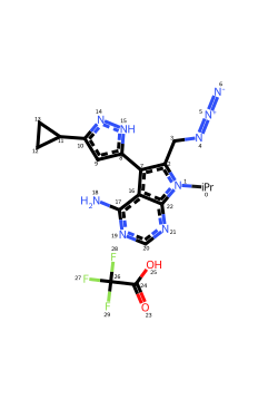 CC(C)n1c(CN=[N+]=[N-])c(-c2cc(C3CC3)n[nH]2)c2c(N)ncnc21.O=C(O)C(F)(F)F